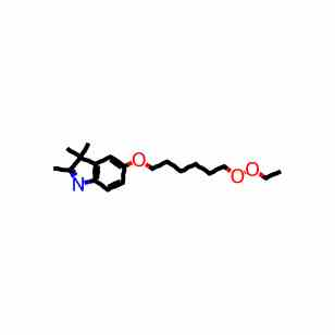 CCOOCCCCCCOc1ccc2c(c1)C(C)(C)C(C)=N2